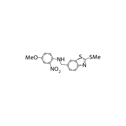 COc1ccc(NCc2ccc3nc(SC)sc3c2)c([N+](=O)[O-])c1